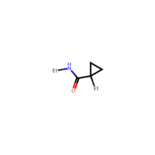 CCNC(=O)C1(CC)CC1